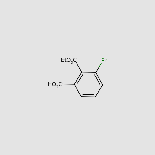 CCOC(=O)c1c(Br)cccc1C(=O)O